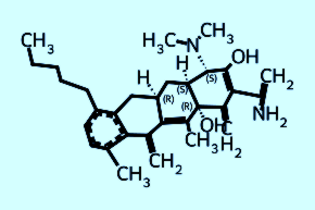 C=C(N)C1=C(O)[C@@H](N(C)C)[C@@H]2C[C@@H]3Cc4c(CCCCC)ccc(C)c4C(=C)C3=C(C)[C@]2(O)C1=C